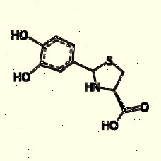 O=C(O)[C@@H]1CSC(c2ccc(O)c(O)c2)N1